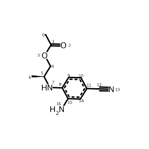 CC(=O)OC[C@H](C)Nc1ccc(C#N)cc1N